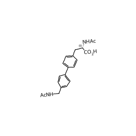 CC(=O)NCc1ccc(-c2ccc(C[C@H](NC(C)=O)C(=O)O)cc2)cc1